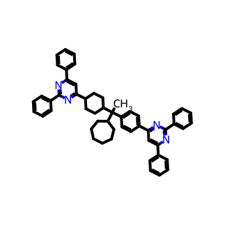 CC(c1ccc(-c2cc(-c3ccccc3)nc(-c3ccccc3)n2)cc1)(C1CCCCCC1)C1CCC(c2cc(-c3ccccc3)nc(-c3ccccc3)n2)CC1